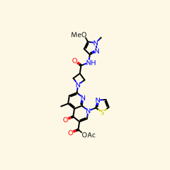 COc1cc(NC(=O)C2CN(c3cc(C)c4c(=O)c(C(=O)OC(C)=O)cn(-c5nccs5)c4n3)C2)nn1C